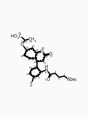 CCCCCCCCCCCCCC(=O)Nc1cc(F)ccc1-c1cc(=O)oc2cc(OC(C)C(=O)O)ccc12